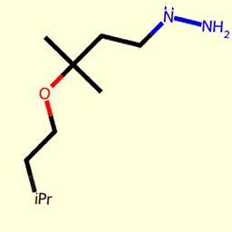 CC(C)CCOC(C)(C)CCNN